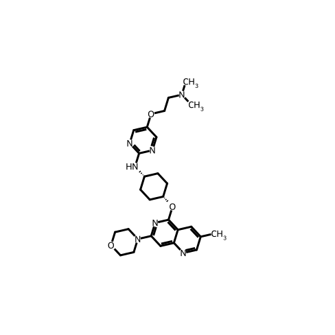 Cc1cnc2cc(N3CCOCC3)nc(O[C@H]3CC[C@@H](Nc4ncc(OCCN(C)C)cn4)CC3)c2c1